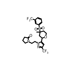 CC1(S(=O)(=O)c2cccc(C(F)(F)F)c2)CCOC(c2cc(C(F)(F)F)nn2CCN2CCCC2=O)C1